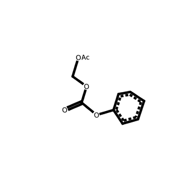 CC(=O)OCOC(=O)Oc1ccccc1